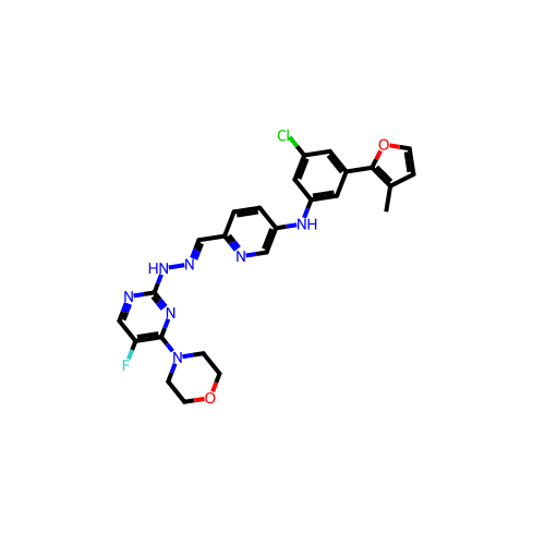 Cc1ccoc1-c1cc(Cl)cc(Nc2ccc(/C=N/Nc3ncc(F)c(N4CCOCC4)n3)nc2)c1